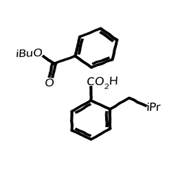 CC(C)COC(=O)c1ccccc1.CC(C)Cc1ccccc1C(=O)O